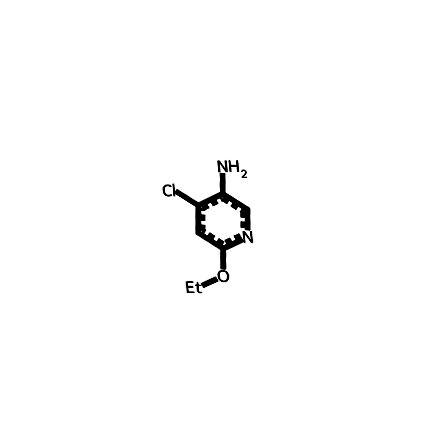 CCOc1cc(Cl)c(N)cn1